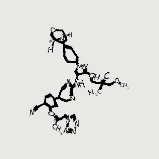 COCC(C)(C)COc1nn(C2CCC(N3[C@@H]4CC[C@H]3COC4)CC2)cc1Nc1ncc(-c2ccc(C#N)c(O[C@@H](C)Cn3cnnn3)c2)cn1